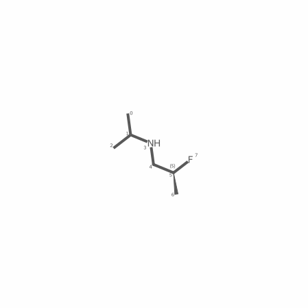 CC(C)NC[C@H](C)F